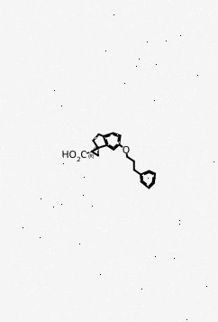 O=C(O)[C@@H]1C[C@]12CCc1ccc(OCCCc3ccccc3)cc12